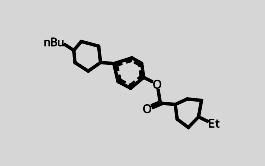 CCCCC1CCC(c2ccc(OC(=O)C3CCC(CC)CC3)cc2)CC1